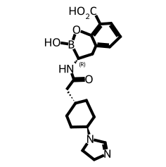 O=C(C[C@H]1CC[C@H](N2C=NCC2)CC1)N[C@H]1Cc2cccc(C(=O)O)c2OB1O